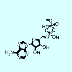 COP(=O)(O)OP(=O)(O)OC[C@H]1O[C@@H](n2cnc3c(N)ncnc32)C(O)[C@H]1O